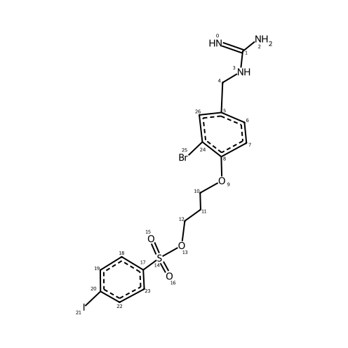 N=C(N)NCc1ccc(OCCCOS(=O)(=O)c2ccc(I)cc2)c(Br)c1